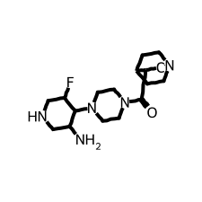 NC1CNCC(F)C1N1CCN(C(=O)C2CN3CCC2CC3)CC1